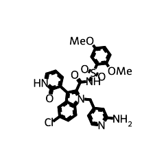 COc1ccc(OC)c(S(=O)(=O)NC(=O)c2c(-c3ccc[nH]c3=O)c3cc(Cl)ccc3n2Cc2ccnc(N)c2)c1